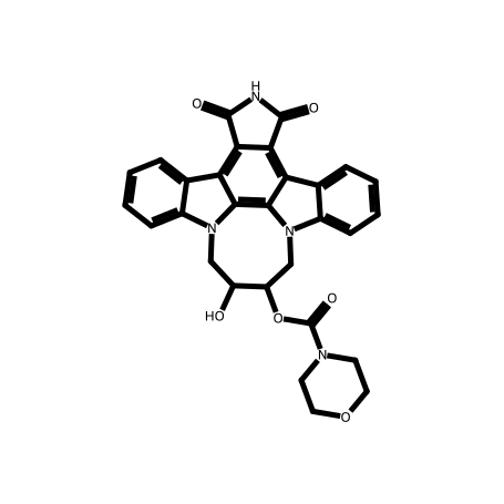 O=C1NC(=O)c2c1c1c3ccccc3n3c1c1c2c2ccccc2n1CC(OC(=O)N1CCOCC1)C(O)C3